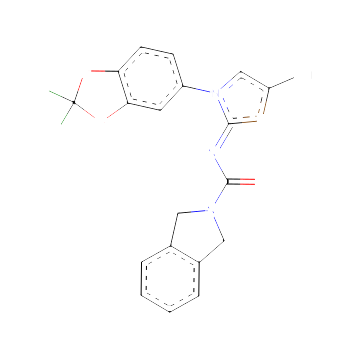 Cc1cn(-c2ccc3c(c2)OC(F)(F)O3)c(=NC(=O)N2Cc3ccccc3C2)s1